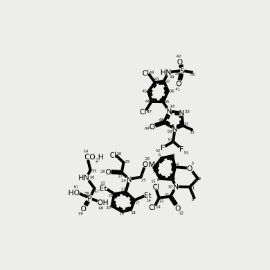 CC1COc2ccccc2N1C(=O)C(Cl)Cl.CCc1cccc(CC)c1N(COC)C(=O)CCl.Cc1nn(-c2cc(NS(C)(=O)=O)c(Cl)cc2Cl)c(=O)n1C(F)F.O=C(O)CNCP(=O)(O)O